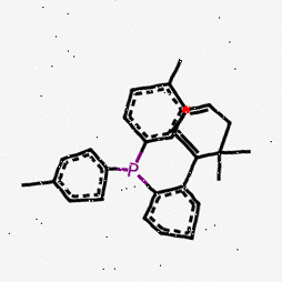 Cc1ccc(P(c2ccc(C)cc2)c2ccccc2C2=CC=CCC2(C)C)cc1